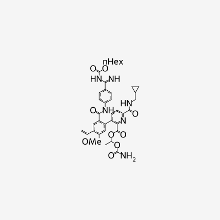 C=Cc1cc(C(=O)Nc2ccc(C(=N)NC(=O)OCCCCCC)cc2)c(-c2ccc(C(=O)NCC3CC3)nc2C(=O)OC(C)OC(N)=O)cc1OC